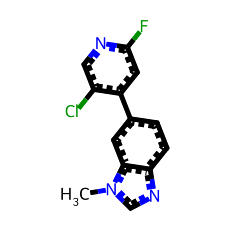 Cn1cnc2ccc(-c3cc(F)ncc3Cl)cc21